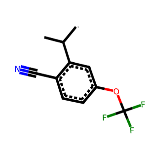 [CH2]C(C)c1cc(OC(F)(F)F)ccc1C#N